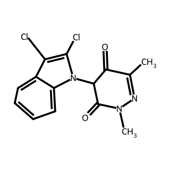 CC1=NN(C)C(=O)C(n2c(Cl)c(Cl)c3ccccc32)C1=O